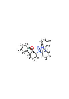 NN(c1ccccc1-c1ccccc1)c1cccc2c1oc1ccccc12